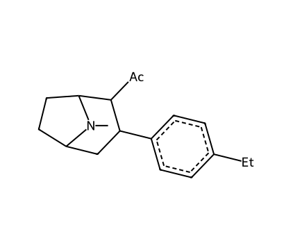 CCc1ccc(C2CC3CCC(C2C(C)=O)N3C)cc1